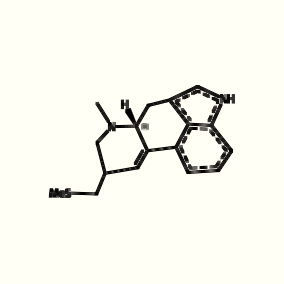 CSCC1C=C2c3cccc4[nH]cc(c34)C[C@H]2N(C)C1